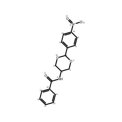 O=C(NC1COC(c2ccc([N+](=O)[O-])cc2)OC1)c1ccccc1